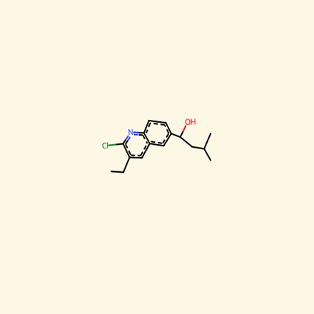 CCc1cc2cc(C(O)CC(C)C)ccc2nc1Cl